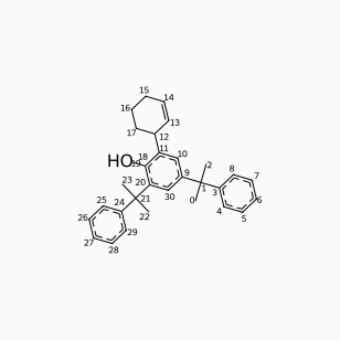 CC(C)(c1ccccc1)c1cc(C2C=CCCC2)c(O)c(C(C)(C)c2ccccc2)c1